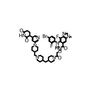 Cn1cnc2c(F)c(Nc3ccc(Br)cc3F)c(C(=O)NOCC(=O)N3CCC(CC4CCN(CC5CCN(c6cncc(C7CCC(=O)NC7=O)c6)CC5)CC4)CC3)cc21